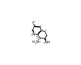 N=C1CCc2cc(F)cnc2N1N